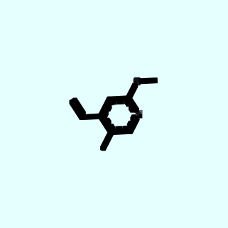 C=Cc1cc(OC)ncc1C